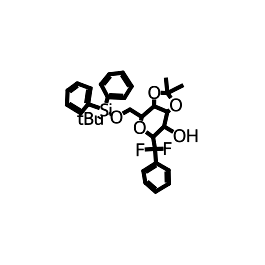 CC1(C)OC2C(CO[Si](c3ccccc3)(c3ccccc3)C(C)(C)C)OC(C(F)(F)c3ccccc3)C(O)C2O1